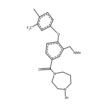 CNCc1cc(C(=O)N2CCCN(C(C)C)CC2)ccc1Oc1ccc(C)c(C(F)(F)F)c1